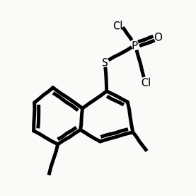 Cc1cc(SP(=O)(Cl)Cl)c2cccc(C)c2c1